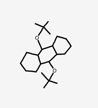 CC(C)(C)OC1C2CCCCC2C(OC(C)(C)C)C2CCCCC21